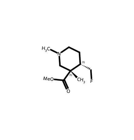 COC(=O)[C@]1(C)CN(C)CC[C@@H]1CF